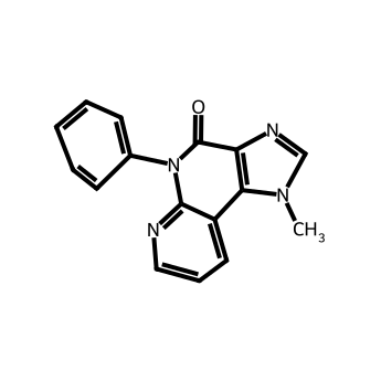 Cn1cnc2c(=O)n(-c3ccccc3)c3ncccc3c21